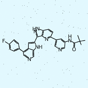 CC(C)(C)C(=O)Nc1cncc(-c2ccc3[nH]nc(-c4cc5c(-c6ccc(F)cc6)cncc5[nH]4)c3n2)c1